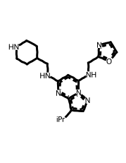 CC(C)c1cnn2c(NCc3ncco3)cc(NCC3CCNCC3)nc12